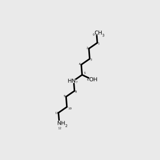 CCCCCC(O)NCCCCN